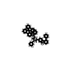 c1ccc(-c2nc(-c3ccc4c(c3)oc3cccc(-c5ccccc5)c34)nc(-n3c4ccccc4c4c5c(ccc43)-c3ccccc3C53c4ccccc4-c4ccccc43)n2)cc1